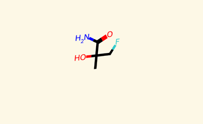 CC(O)(CF)C(N)=O